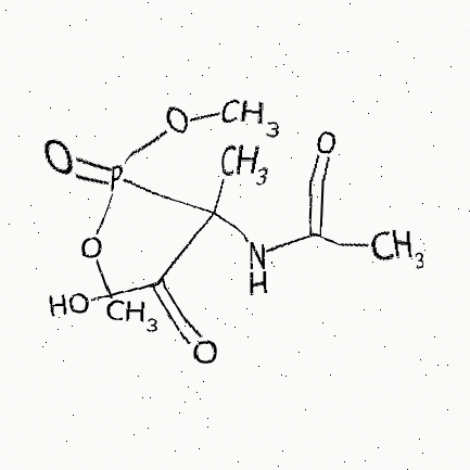 COP(=O)(OC)C(C)(NC(C)=O)C(=O)O